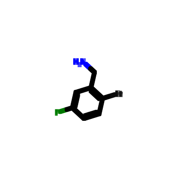 CCc1ccc(F)cc1CN